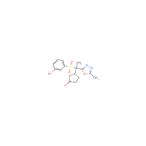 Cc1nnc(C(C)(C2CCC(=O)C2)S(=O)(=O)c2cccc(Br)c2)o1